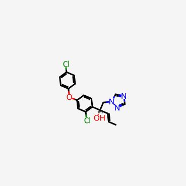 CC=C[C@](O)(Cn1cncn1)c1ccc(Oc2ccc(Cl)cc2)cc1Cl